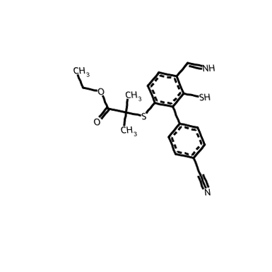 CCOC(=O)C(C)(C)Sc1ccc(C=N)c(S)c1-c1ccc(C#N)cc1